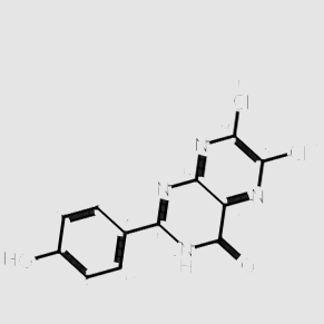 O=c1[nH]c(-c2ccc(O)cc2)nc2nc(Cl)c(Cl)nc12